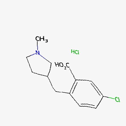 CN1CCC(Cc2ccc(Cl)cc2C(=O)O)C1.Cl